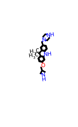 CC1(C)c2ccc(OCC3CNC3)cc2Nc2ccc(CN3CCNCC3)cc21